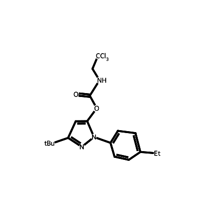 CCc1ccc(-n2nc(C(C)(C)C)cc2OC(=O)NCC(Cl)(Cl)Cl)cc1